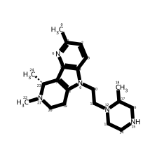 Cc1ccc2c(n1)c1c(n2CCN2CCNCC2C)CCN(C)[C@@H]1C